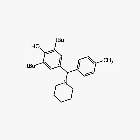 Cc1ccc(C(c2cc(C(C)(C)C)c(O)c(C(C)(C)C)c2)N2CCCCC2)cc1